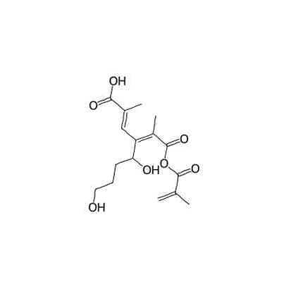 C=C(C)C(=O)OC(=O)C(C)=C(C=C(C)C(=O)O)C(O)CCCO